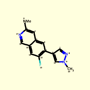 CNc1cc2cc(-c3cnn(C)c3)c(F)cc2cn1